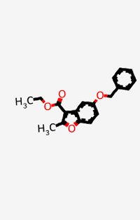 CCOC(=O)c1c(C)oc2ccc(OCc3ccccc3)cc12